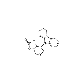 O=S1OC2COCC(n3c4ccccc4c4ccccc43)C2O1